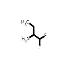 CCC(N)C(F)F